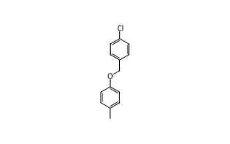 Cc1ccc(OCc2ccc(Cl)cc2)cc1